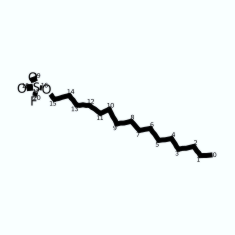 CCCCCCCCCCCCCCCCOS(=O)(=O)F